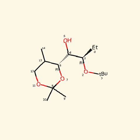 CC[C@@H](OC(C)(C)C)C(O)[C@@H]1OC(C)(C)OCC1C